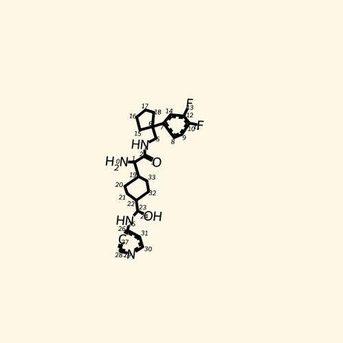 NC(C(=O)NCC1(c2ccc(F)c(F)c2)CCCC1)C1CCC(C(O)Nc2ccncc2)CC1